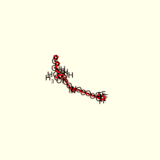 C[C@H]1[C@H]([C@H](O)[C@H](O)CNC(=O)c2cccc(Oc3ccccc3)c2)O[C@](OCCOCCOCc2cn(CCOCCOCCOCCOCCC(=O)Oc3c(F)c(F)c(F)c(F)c3F)nn2)(C(=O)O)C[C@@H]1O